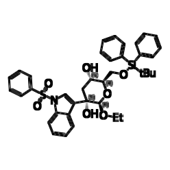 CCO[C@@H]1O[C@H](CO[Si](c2ccccc2)(c2ccccc2)C(C)(C)C)[C@@H](O)C[C@]1(O)c1cn(S(=O)(=O)c2ccccc2)c2ccccc12